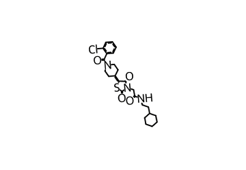 O=C(CN1C(=O)SC(=C2CCN(C(=O)c3ccccc3Cl)CC2)C1=O)NCCC1CCCCC1